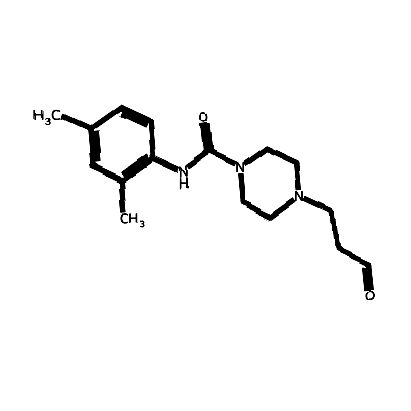 Cc1ccc(NC(=O)N2CCN(CCC=O)CC2)c(C)c1